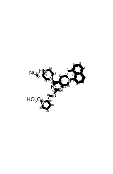 Cc1cccc2cccc(N3CCc4c(nc(OC[C@@H]5CCCN5C(=O)O)nc4N4CCN[C@@H](CC#N)C4)C3)c12